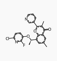 Cc1cc([C@@H](C)Oc2ccc(Cl)nc2F)c2oc(-c3cccnc3)c(C)c(=O)c2c1